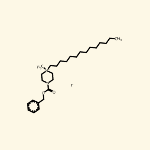 CCCCCCCCCCCCCC[N+]1(C)CCN(C(=O)OCc2ccccc2)CC1.[I-]